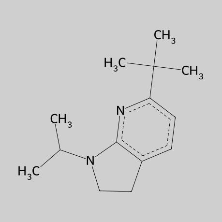 CC(C)N1CCc2ccc(C(C)(C)C)nc21